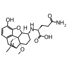 CO[C@@]12CC[C@H](N[C@@H](CCC(N)=O)C(=O)O)[C@@H]3Oc4c(O)ccc5c4[C@@]31CCN(C)C2C5